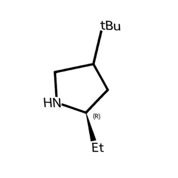 CC[C@@H]1CC(C(C)(C)C)CN1